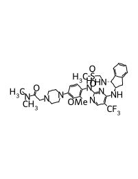 COc1cc(N2CCN(CC(=O)N(C)C)CC2)ccc1Nc1ncc(C(F)(F)F)c(N[C@@H]2Cc3ccccc3[C@H]2NCS(C)(=O)=O)n1